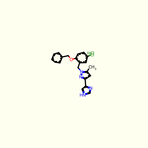 Cc1cc(-c2c[nH]cn2)nn1Cc1cc(Cl)ccc1OCc1ccccc1.Cl